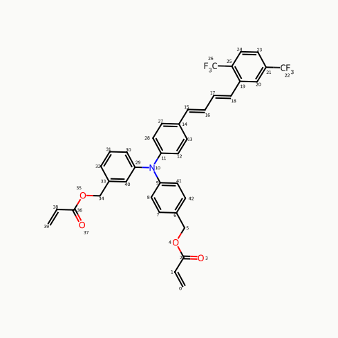 C=CC(=O)OCc1ccc(N(c2ccc(C=CC=Cc3cc(C(F)(F)F)ccc3C(F)(F)F)cc2)c2cccc(COC(=O)C=C)c2)cc1